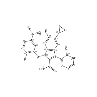 O=C(O)c1c(-c2ccc[nH]c2=O)c2cc(C3CC3)c(F)cc2n1Cc1cc([N+](=O)[O-])ccc1F